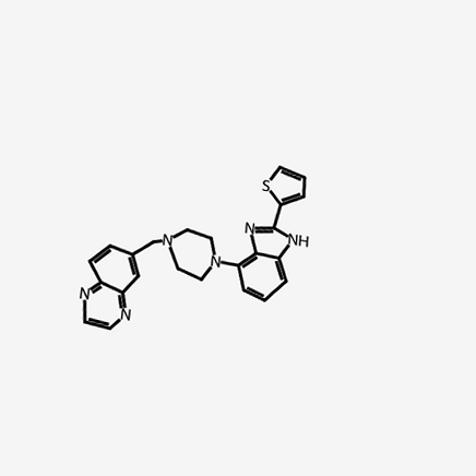 c1csc(-c2nc3c(N4CCN(Cc5ccc6nccnc6c5)CC4)cccc3[nH]2)c1